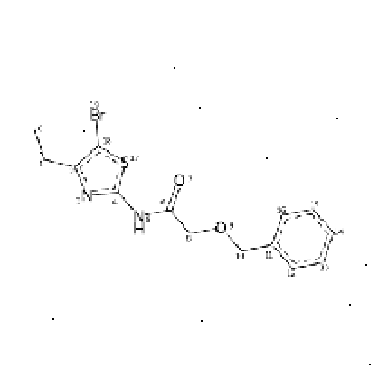 CCc1nc(NC(=O)COCc2ccccc2)sc1Br